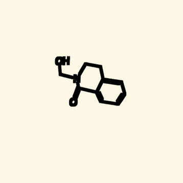 O=C1c2ccccc2CCN1CO